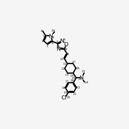 Cc1ccc(-c2noc(C=CC3CCC(C(c4ccc(Cl)cc4)N(C)C)CC3)n2)n1C